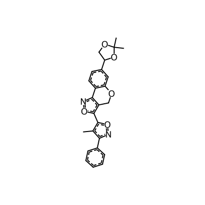 Cc1c(-c2ccccc2)noc1-c1onc2c1COc1cc(C3COC(C)(C)O3)ccc1-2